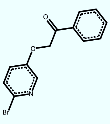 O=C(COc1ccc(Br)nc1)c1ccccc1